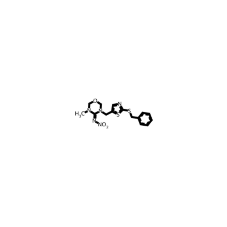 CN1COCN(Cc2cnc(SCc3ccccc3)s2)/C1=N\[N+](=O)[O-]